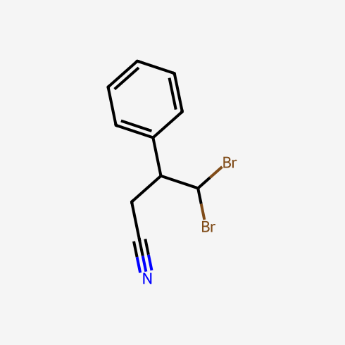 N#CCC(c1ccccc1)C(Br)Br